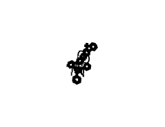 CC1(C)c2ccccc2-c2cc3c(cc21)Oc1cc(-c2ccccc2-c2nc(-c4ccccc4)nc(-c4ccccc4)n2)ccc1O3